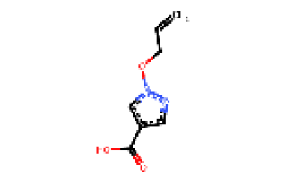 C=CCOn1cc(C(=O)O)cn1